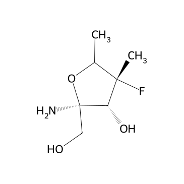 CC1O[C@](N)(CO)[C@@H](O)[C@@]1(C)F